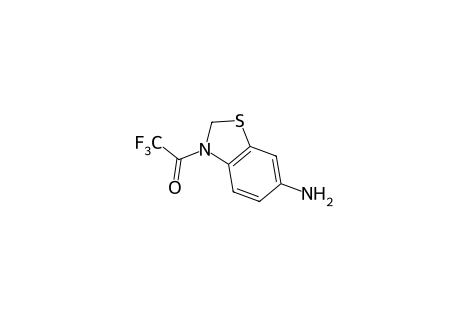 Nc1ccc2c(c1)SCN2C(=O)C(F)(F)F